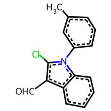 Cc1cccc(-n2c(Cl)c(C=O)c3ccccc32)c1